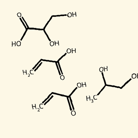 C=CC(=O)O.C=CC(=O)O.CC(O)CO.O=C(O)C(O)CO